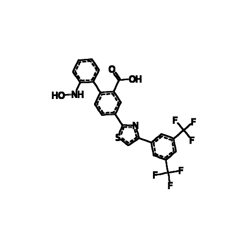 O=C(O)c1cc(-c2nc(-c3cc(C(F)(F)F)cc(C(F)(F)F)c3)cs2)ccc1-c1ccccc1NO